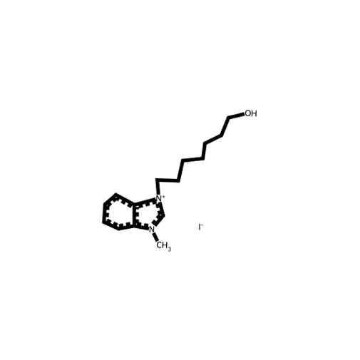 Cn1c[n+](CCCCCCCO)c2ccccc21.[I-]